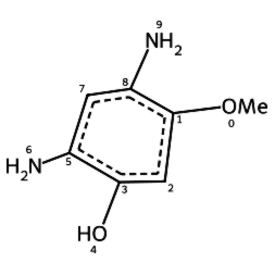 COc1cc(O)c(N)cc1N